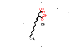 CCCCCCCCC=CC(CC(=O)O)C(=O)O.[KH]